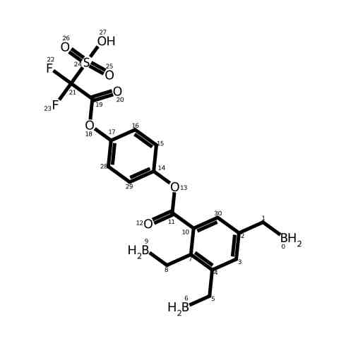 BCc1cc(CB)c(CB)c(C(=O)Oc2ccc(OC(=O)C(F)(F)S(=O)(=O)O)cc2)c1